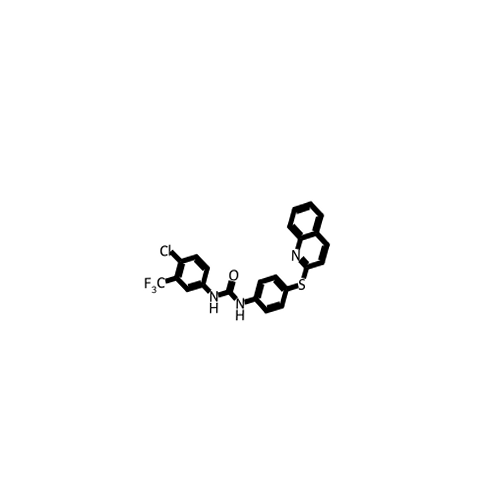 O=C(Nc1ccc(Sc2ccc3ccccc3n2)cc1)Nc1ccc(Cl)c(C(F)(F)F)c1